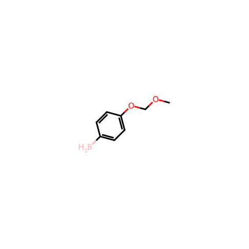 Bc1ccc(OCOC)cc1